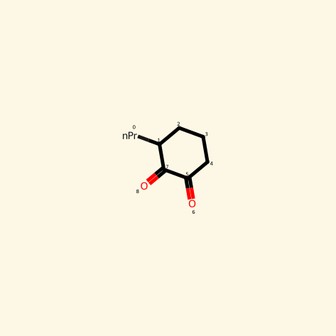 CCCC1CCCC(=O)C1=O